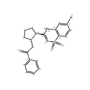 O=C(CN1CCC[C@H]1C1=NS(=O)(=O)c2ccc(Br)cc2N1)c1ccccc1